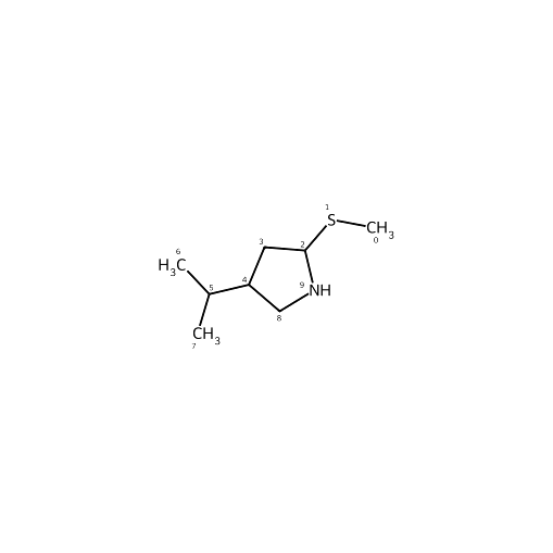 CSC1CC(C(C)C)CN1